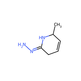 CC1C=CC/C(=N/N)N1